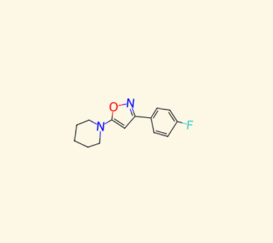 Fc1ccc(-c2cc(N3CCCCC3)on2)cc1